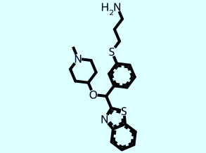 CN1CCC(OC(c2cccc(SCCCN)c2)c2nc3ccccc3s2)CC1